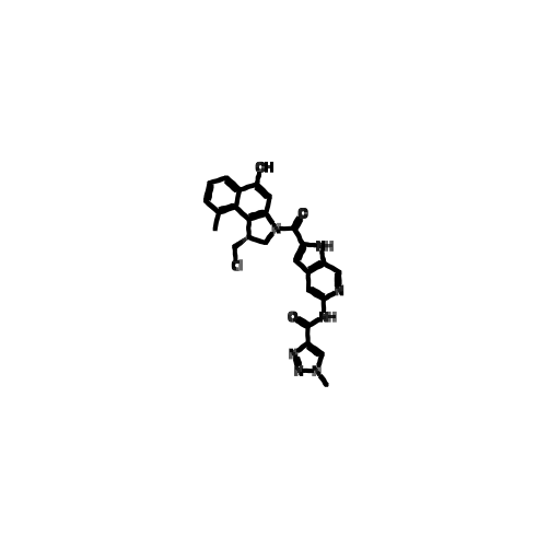 Cc1cccc2c(O)cc3c(c12)[C@H](CCl)CN3C(=O)c1cc2cc(NC(=O)c3cn(C)nn3)ncc2[nH]1